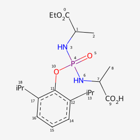 CCOC(=O)C(C)NP(=O)(NC(C)C(=O)O)Oc1c(C(C)C)cccc1C(C)C